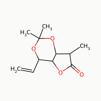 C=CC1OC(C)(C)OC2C(C)C(=O)OC12